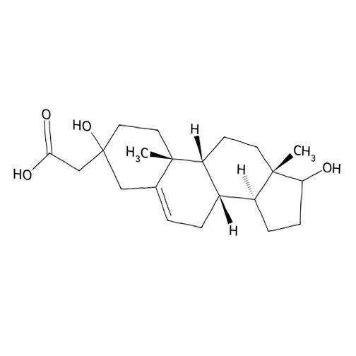 C[C@]12CCC(O)(CC(=O)O)CC1=CC[C@@H]1[C@H]2CC[C@]2(C)C(O)CC[C@@H]12